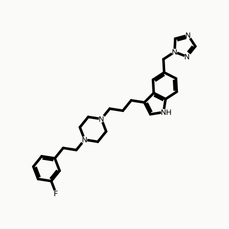 Fc1cccc(CCN2CCN(CCCc3c[nH]c4ccc(Cn5cncn5)cc34)CC2)c1